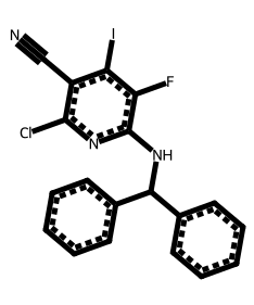 N#Cc1c(Cl)nc(NC(c2ccccc2)c2ccccc2)c(F)c1I